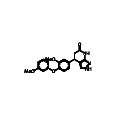 COc1cccc(Oc2ccc(C3CC(=O)Nc4n[nH]cc43)cc2OC)c1